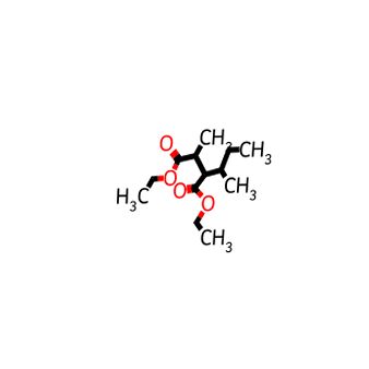 CCOC(=O)C(C)C(C(=O)OCC)C(C)CC